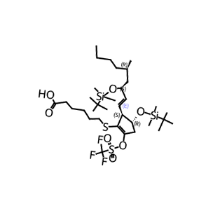 CCCC[C@@H](C)C[C@@H](/C=C/[C@@H]1C(SCCCCCC(=O)O)=C(OS(=O)(=O)C(F)(F)F)C[C@H]1O[Si](C)(C)C(C)(C)C)O[Si](C)(C)C(C)(C)C